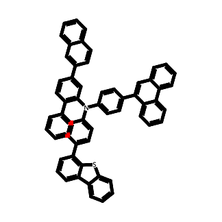 c1ccc(-c2ccc(-c3ccc4ccccc4c3)cc2N(c2ccc(-c3cc4ccccc4c4ccccc34)cc2)c2ccc(-c3cccc4c3sc3ccccc34)cc2)cc1